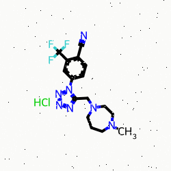 CN1CCCN(Cc2nnnn2-c2ccc(C#N)c(C(F)(F)F)c2)CC1.Cl